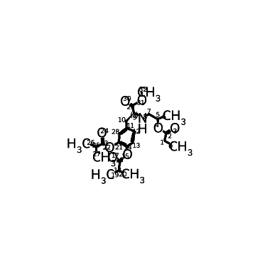 CCC(=O)OC(C)CN[C@@H](Cc1ccc(OC(=O)C(C)C)c(OC(=O)C(C)C)c1)C(=O)OC